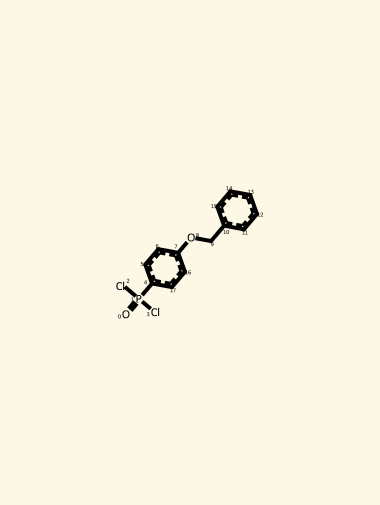 O=P(Cl)(Cl)c1ccc(OCc2ccccc2)cc1